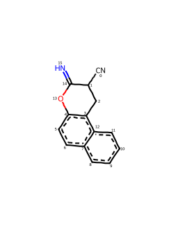 N#CC1Cc2c(ccc3ccccc23)OC1=N